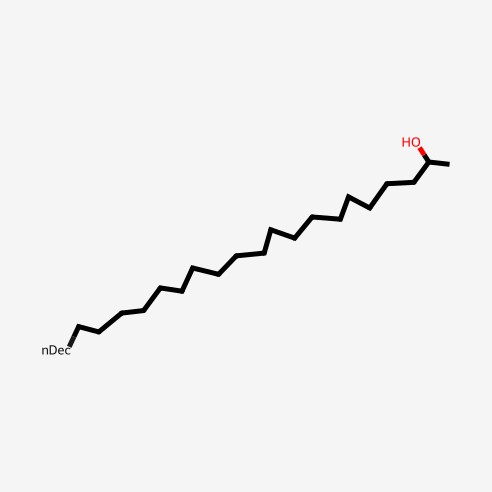 CCCCCCCCCCCCCCCCCCCCCCCCCCCCC(C)O